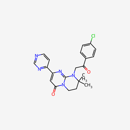 CC1(C)CCn2c(nc(-c3ccncn3)cc2=O)N1CC(=O)c1ccc(Cl)cc1